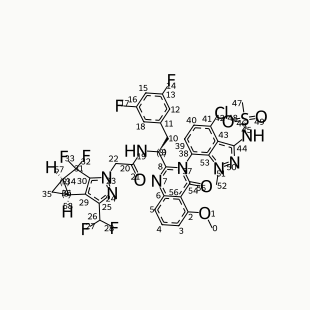 COc1cccc2nc([C@H](Cc3cc(F)cc(F)c3)NC(=O)Cn3nc(C(F)F)c4c3C(F)(F)[C@@H]3C[C@H]43)n(-c3ccc(Cl)c4c(NS(C)(=O)=O)nn(C)c34)c(=O)c12